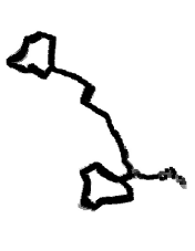 CON(CCCC=Cc1ccccc1)c1ccccc1